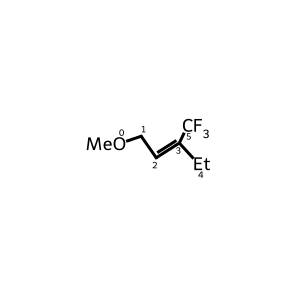 [CH2]OCC=C(CC)C(F)(F)F